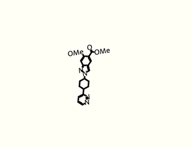 COC(=O)c1cc2cn(C3CCC(c4cccnn4)CC3)nc2cc1OC